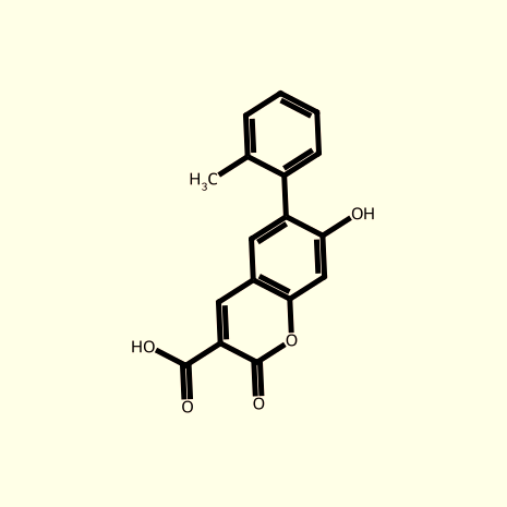 Cc1ccccc1-c1cc2cc(C(=O)O)c(=O)oc2cc1O